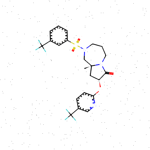 O=C1[C@@H](Oc2ccc(C(F)(F)F)cn2)C[C@@H]2CN(S(=O)(=O)c3cccc(C(F)(F)F)c3)CCCN12